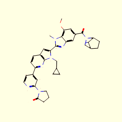 COc1cc(C(=O)N2CC3CCC2[C@@H]3N)cc2nc(-c3cc4ccc(-c5ccnc(N6CCCC6=O)c5)nc4n3CC3CC3)n(C)c12